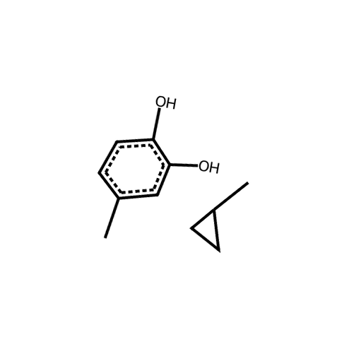 CC1CC1.Cc1ccc(O)c(O)c1